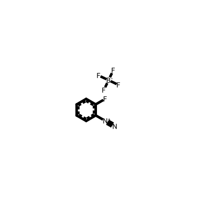 F[B-](F)(F)F.N#[N+]c1ccccc1F